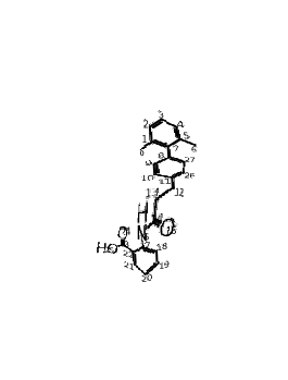 Cc1cccc(C)c1-c1ccc(CCC(=O)Nc2ccccc2C(=O)O)cc1